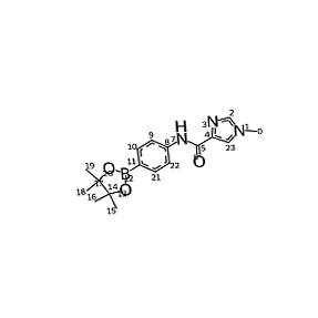 Cn1cnc(C(=O)Nc2ccc(B3OC(C)(C)C(C)(C)O3)cc2)c1